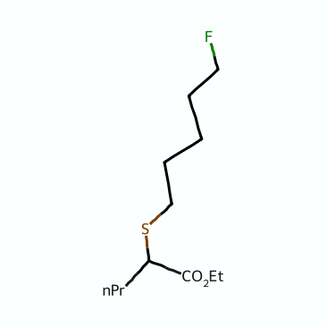 CCCC(SCCCCCF)C(=O)OCC